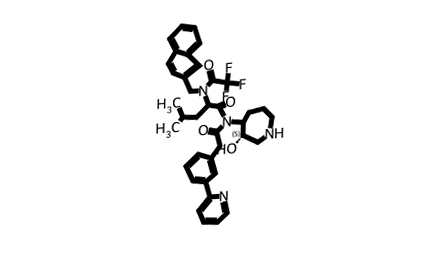 CC(C)CC(C(=O)N(C(=O)Cc1cccc(-c2ccccn2)c1)C1CCCNC[C@@H]1O)N(Cc1ccc2ccccc2c1)C(=O)C(F)(F)F